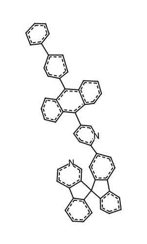 c1ccc(-c2ccc(-c3c4ccccc4c(-c4ccc(-c5ccc6c(c5)C5(c7ccccc7-c7ccncc75)c5ccccc5-6)nc4)c4ccccc34)cc2)cc1